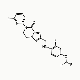 O=C1c2cc(CNc3ccc(OC(F)F)cc3F)nn2CCN1c1cccc(F)n1